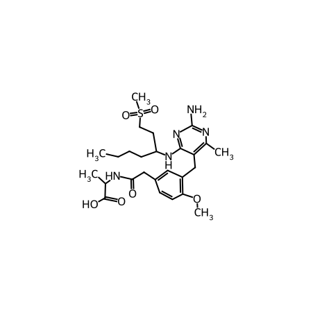 CCCCC(CCS(C)(=O)=O)Nc1nc(N)nc(C)c1Cc1cc(CC(=O)NC(C)C(=O)O)ccc1OC